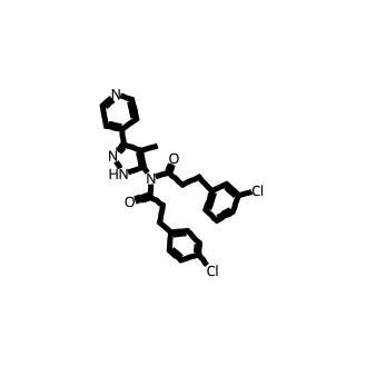 Cc1c(-c2ccncc2)n[nH]c1N(C(=O)CCc1ccc(Cl)cc1)C(=O)CCc1cccc(Cl)c1